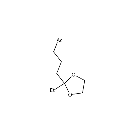 CCC1(CCCC(C)=O)OCCO1